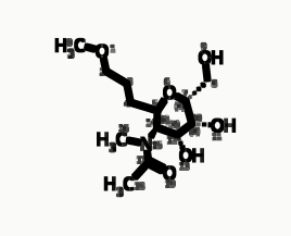 COCCCC1O[C@H](CO)[C@H](O)[C@H](O)[C@H]1N(C)C(C)=O